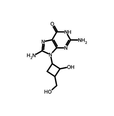 Nc1nc2c(nc(N)n2C2CC(CO)C2O)c(=O)[nH]1